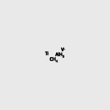 C.[AlH3].[Ti].[V]